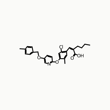 CCCCC(=Cc1cc(C)c(Oc2ccc(OCc3ccc(C)cc3)cn2)cc1Cl)C(=O)O